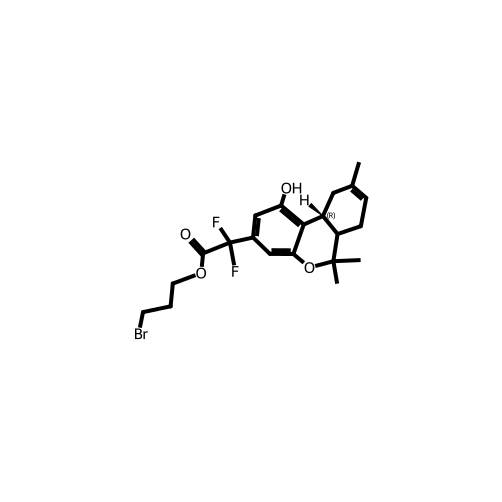 CC1=CCC2[C@@H](C1)c1c(O)cc(C(F)(F)C(=O)OCCCBr)cc1OC2(C)C